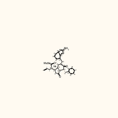 C=CCN(C(=O)NC)N1CC(=O)N2[C@@H](Cc3ccccc3)C(=O)N(Cc3cccc4sc(N)nc34)C[C@@H]21